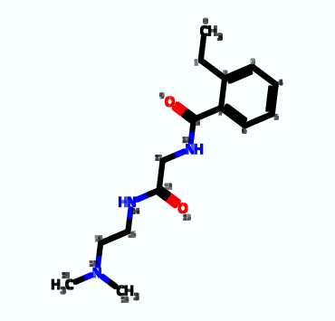 CCc1ccccc1C(=O)NCC(=O)NCCN(C)C